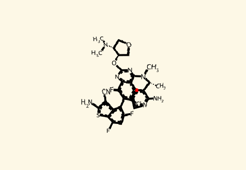 C[C@H](c1cccnc1N)N(C)c1nc(O[C@@H]2COC[C@H]2N(C)C)nc2c(F)c(-c3c(F)cc(F)c4sc(N)c(C#N)c34)c(Cl)cc12